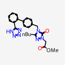 CCCCc1nn(CC(=O)OC)c(=O)n1Cc1ccc(-c2ccccc2-c2nnn[nH]2)cc1